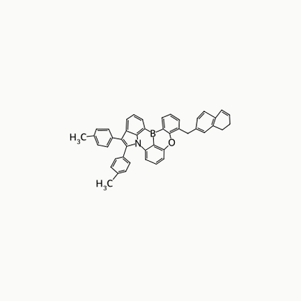 Cc1ccc(-c2c(-c3ccc(C)cc3)n3c4c(cccc24)B2c4cccc(Cc5ccc6c(c5)CCC=C6)c4Oc4cccc-3c42)cc1